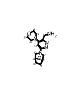 NCc1nnc(N2CC3CCC(C2)O3)cc1N1CCOCC1